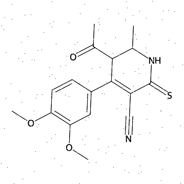 COc1ccc(C2=C(C#N)C(=S)NC(C)C2C(C)=O)cc1OC